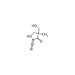 CC(CO)(CO)C(=O)N=[N+]=[N-]